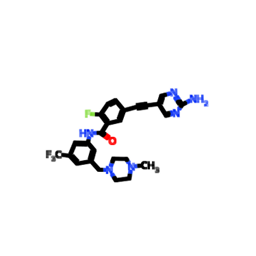 CN1CCN(Cc2cc(NC(=O)c3cc(C#Cc4cnc(N)nc4)ccc3F)cc(C(F)(F)F)c2)CC1